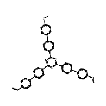 C=Cc1ccc(-c2ccc(-c3nc(-c4ccc(-c5ccc(OC)cc5)cc4)nc(-c4ccc(-c5ccc(OC)cc5)cc4)n3)cc2)cc1